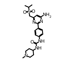 CC(C)S(=O)(=O)Cc1cc(N)nc(-c2ccc(NC(=O)NC3CCN(C)CC3)cc2)n1